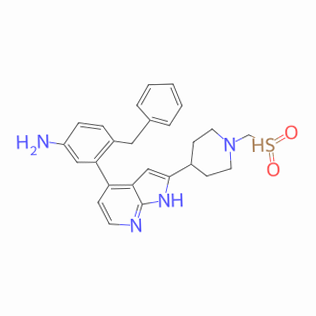 Nc1ccc(Cc2ccccc2)c(-c2ccnc3[nH]c(C4CCN(C[SH](=O)=O)CC4)cc23)c1